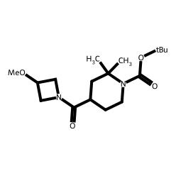 COC1CN(C(=O)C2CCN(C(=O)OC(C)(C)C)C(C)(C)C2)C1